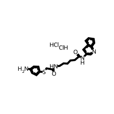 Cl.Cl.Nc1ccc(SCC(=O)NCCCCCC(=O)Nc2cnc3ccccc3c2)cc1